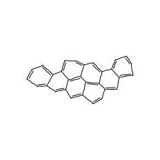 c1ccc2c(c1)cc1cc3ccc4cc5ccccc5c5cc6ccc2c1c6c3c45